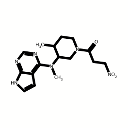 CC1CCN(C(=O)CC[N+](=O)[O-])CC1N(C)c1ncnc2[nH]ccc12